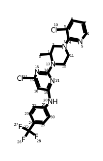 CC1CN(c2ncccc2Cl)CCN1c1nc(Cl)cc(Nc2ccc(C(F)(F)F)cc2)n1